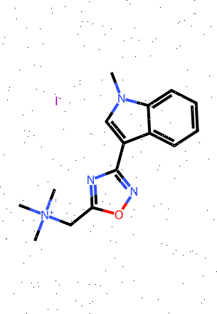 Cn1cc(-c2noc(C[N+](C)(C)C)n2)c2ccccc21.[I-]